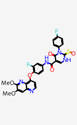 COc1cc2nccc(Oc3ccc(NC(=O)c4c[nH]c(=S=O)n(-c5ccc(F)cc5)c4=O)cc3F)c2nc1OC